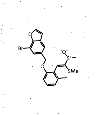 CSC(=Cc1c(F)cccc1OCc1cc(Br)c2occc2c1)[S+](C)[O-]